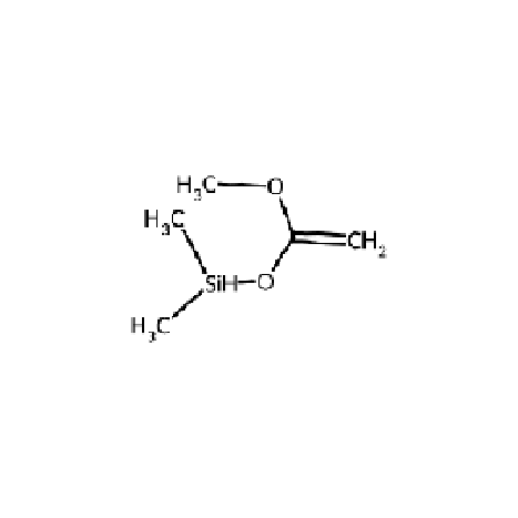 C=C(OC)O[SiH](C)C